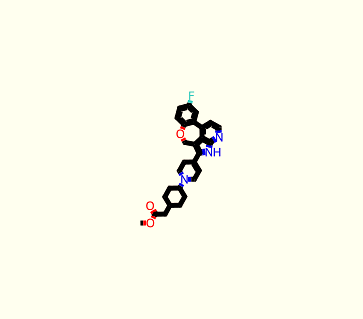 COC(=O)CC1CCC(N2CC=C(c3[nH]c4nccc5c4c3COc3ccc(F)cc3-5)CC2)CC1